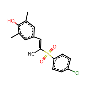 Cc1cc(/C=C(\C#N)S(=O)(=O)c2ccc(Cl)cc2)cc(C)c1O